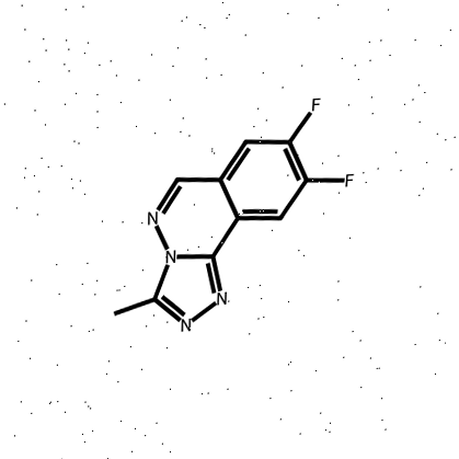 Cc1nnc2c3cc(F)c(F)cc3cnn12